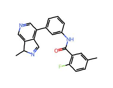 Cc1ccc(F)c(C(=O)Nc2cccc(-c3cncc4c3C=NC4C)c2)c1